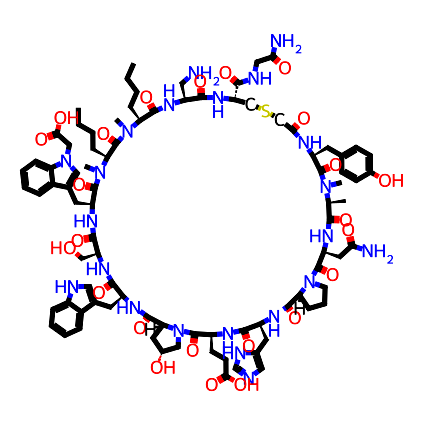 CCCC[C@H]1C(=O)N(C)[C@@H](CCCC)C(=O)N[C@@H](CN)C(=O)N[C@H](C(=O)NCC(N)=O)CSCC(=O)N[C@@H](Cc2ccc(O)cc2)C(=O)N(C)[C@@H](C)C(=O)N[C@@H](CC(N)=O)C(=O)N2CCC[C@H]2C(=O)N[C@@H](Cc2cnc[nH]2)C(=O)N[C@@H](CCC(=O)O)C(=O)N2C[C@H](O)C[C@H]2C(=O)N[C@@H](Cc2c[nH]c3ccccc23)C(=O)N[C@@H](CO)C(=O)N[C@@H](Cc2cn(CC(=O)O)c3ccccc23)C(=O)N1C